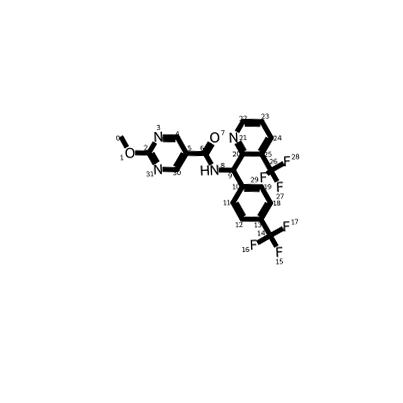 COc1ncc(C(=O)NC(c2ccc(C(F)(F)F)cc2)c2ncccc2C(F)(F)F)cn1